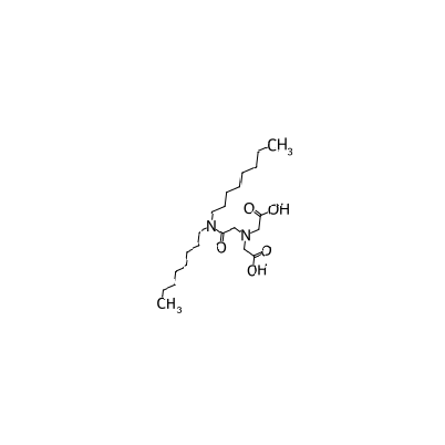 CCCCCCCCN(CCCCCCCC)C(=O)CN(CC(=O)O)CC(=O)O